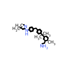 C=C/C=C(\N=C/C)Nc1ccc(Cc2ccc(C(C)(C)C3=CC(CCN)C(C)C=C3)cc2)cc1